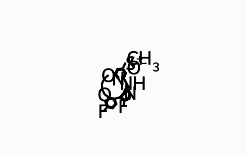 C[S+]([O-])Cc1cc2nc(c1)OCCCOc1cc(F)ccc1-c1cc(ncc1F)N2